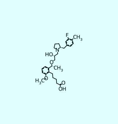 COc1cccc([C@@H](C)OC[C@H](O)CN2CCC[C@H]2Cc2ccc(C)c(F)c2)c1CCCCC(=O)O